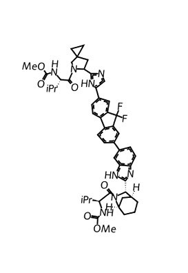 COC(=O)N[C@H](C(=O)N1CC2(CC2)CC1c1ncc(-c2ccc3c(c2)C(F)(F)c2cc(-c4ccc5nc([C@@H]6[C@H]7CCC[C@H](C7)N6C(=O)[C@@H](NC(=O)OC)C(C)C)[nH]c5c4)ccc2-3)[nH]1)C(C)C